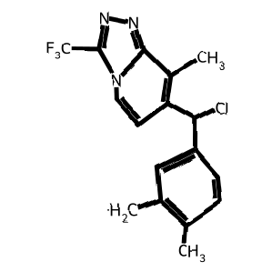 [CH2]c1cc(C(Cl)c2ccn3c(C(F)(F)F)nnc3c2C)ccc1C